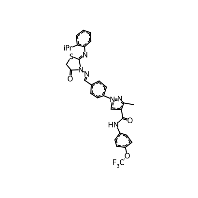 Cc1nn(-c2ccc(C=NN3C(=O)CS/C3=N\c3ccccc3C(C)C)cc2)cc1C(=O)Nc1ccc(OC(F)(F)F)cc1